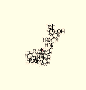 O=C(N[C@@]1(C(=O)O)c2ccccc2CC1C1CN2CCC1CC2)c1cccc(OCCCCNCC(O)c2ccc(O)c3[nH]c(=O)ccc23)c1